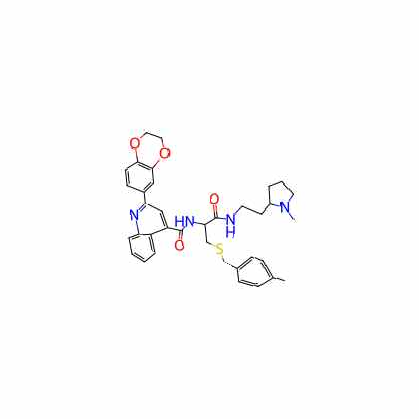 Cc1ccc(CSCC(NC(=O)c2cc(-c3ccc4c(c3)OCCO4)nc3ccccc23)C(=O)NCCC2CCCN2C)cc1